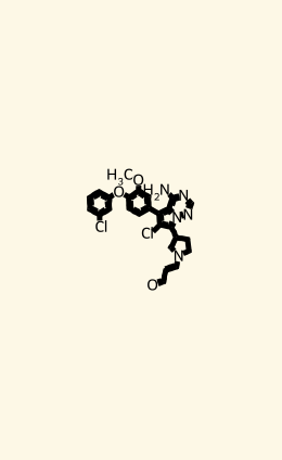 COc1cc(-c2c(Cl)c(C3CCN(C=CC=O)C3)n3ncnc(N)c23)ccc1Oc1cccc(Cl)c1